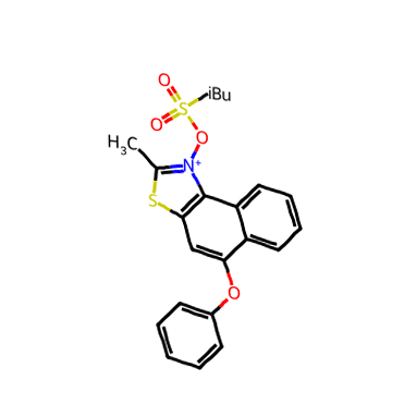 CCC(C)S(=O)(=O)O[n+]1c(C)sc2cc(Oc3ccccc3)c3ccccc3c21